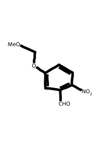 COCOc1ccc([N+](=O)[O-])c(C=O)c1